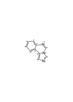 [c]1ncn2cnc3ccccc3c12